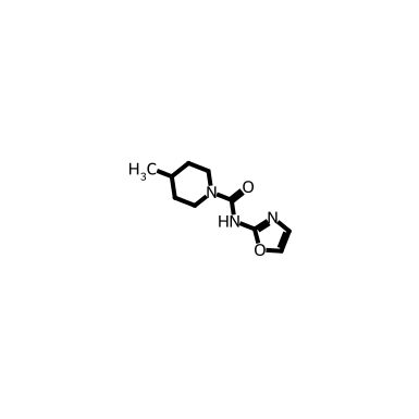 CC1CCN(C(=O)Nc2ncco2)CC1